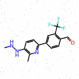 CNNc1ccc(-c2ccc(C=O)c(C(F)(F)F)c2)nc1C